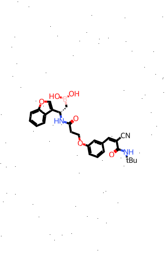 CC(C)(C)NC(=O)C(C#N)=Cc1cccc(OCCC(=O)N[C@@H](CB(O)O)c2coc3ccccc23)c1